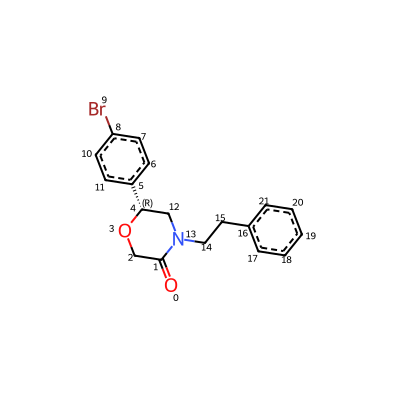 O=C1CO[C@H](c2ccc(Br)cc2)CN1CCc1ccccc1